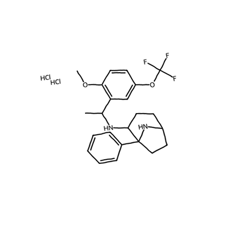 COc1ccc(OC(F)(F)F)cc1C(C)NC1CCC2CCC1(c1ccccc1)N2.Cl.Cl